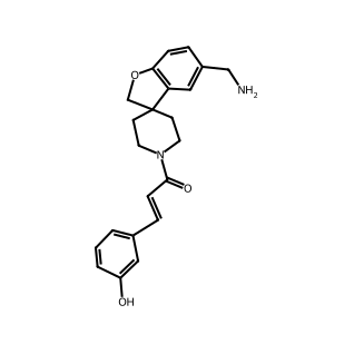 NCc1ccc2c(c1)C1(CCN(C(=O)/C=C/c3cccc(O)c3)CC1)CO2